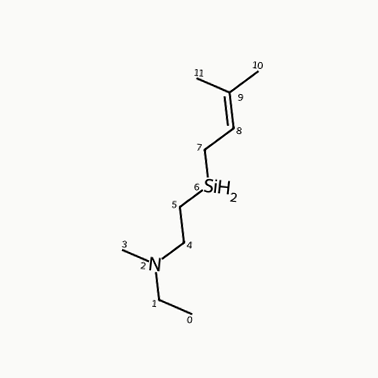 CCN(C)CC[SiH2]CC=C(C)C